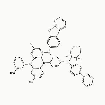 Cc1cc2c3c(c1)N(c1cccc(C(C)(C)C)c1)c1cc(C(C)(C)C)ccc1B3c1ccc(N3c4ccc(-c5ccccc5)cc4C4(C)CCCCC34C)cc1N2c1ccc2c(c1)oc1ccccc12